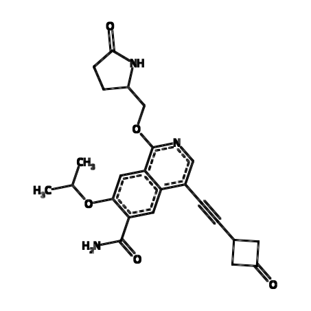 CC(C)Oc1cc2c(OCC3CCC(=O)N3)ncc(C#CC3CC(=O)C3)c2cc1C(N)=O